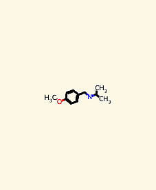 COc1ccc(C[N]C(C)C)cc1